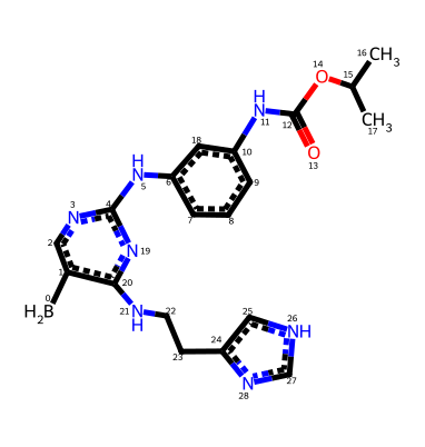 Bc1cnc(Nc2cccc(NC(=O)OC(C)C)c2)nc1NCCc1c[nH]cn1